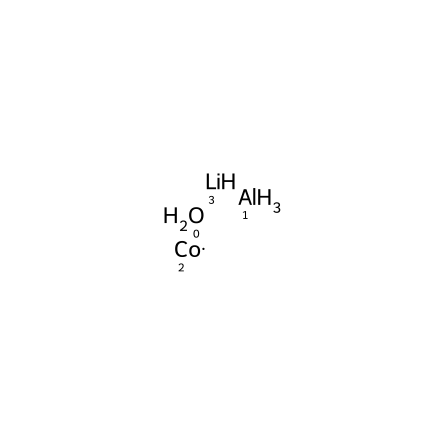 O.[AlH3].[Co].[LiH]